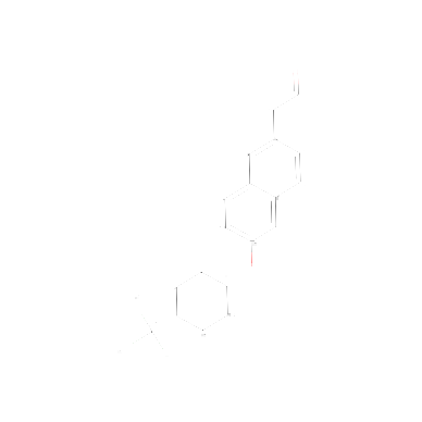 O=CCc1ccc2cc(O[C@H]3CC[C@@H](C(F)(F)F)CC3)ccc2c1